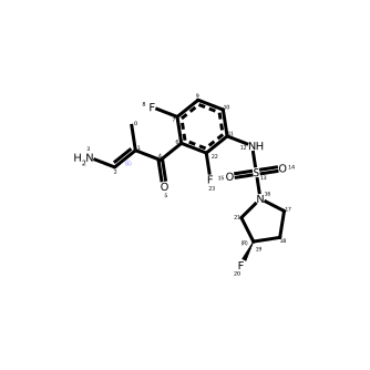 C/C(=C\N)C(=O)c1c(F)ccc(NS(=O)(=O)N2CC[C@@H](F)C2)c1F